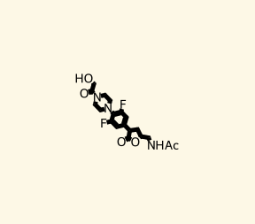 CC(=O)NCC1CC(c2cc(F)c(N3CCN(C(=O)CO)CC3)c(F)c2)C(=O)O1